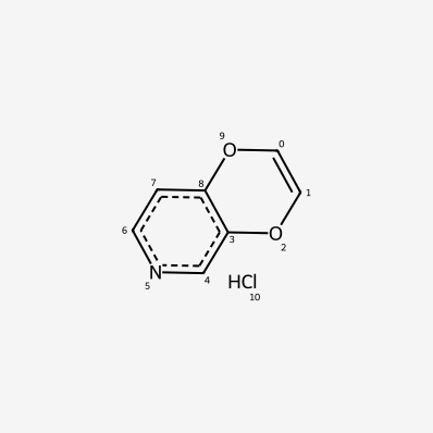 C1=COc2cnccc2O1.Cl